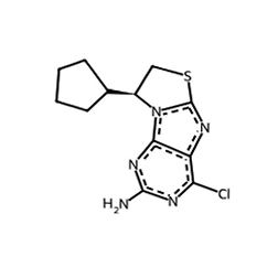 Nc1nc(Cl)c2nc3n(c2n1)[C@@H](C1CCCC1)CS3